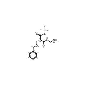 CC(C)(C)OC(=O)[C@@H](COCc1ccccc1)C(=O)OCN